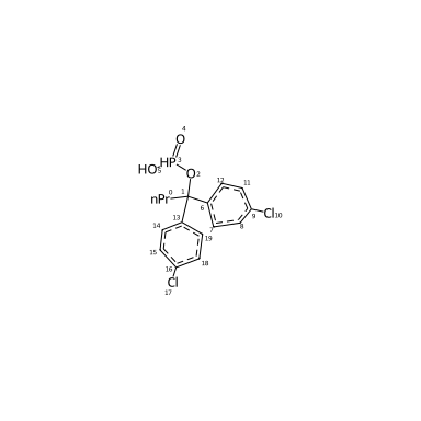 CCCC(O[PH](=O)O)(c1ccc(Cl)cc1)c1ccc(Cl)cc1